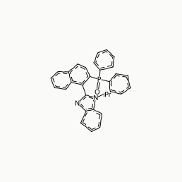 CC(C)n1c(-c2c(P(=O)(c3ccccc3)c3ccccc3)ccc3ccccc23)nc2ccccc21